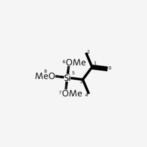 C=C(C)C(C)[Si](OC)(OC)OC